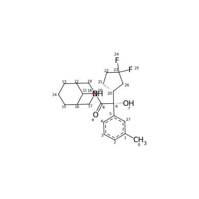 Cc1cccc([C@@](O)(C(=O)OC2C3CCCC2CNC3)[C@@H]2CCC(F)(F)C2)c1